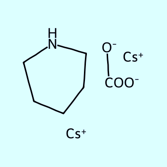 C1CCNCC1.O=C([O-])[O-].[Cs+].[Cs+]